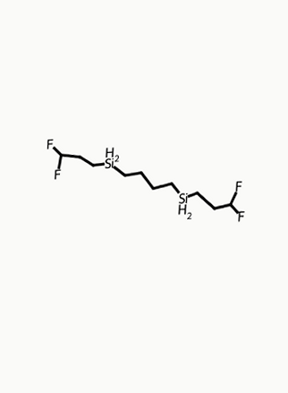 FC(F)CC[SiH2]CCCC[SiH2]CCC(F)F